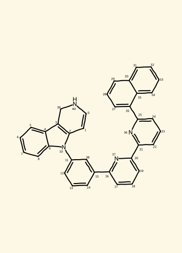 C1=Cc2c(c3ccccc3n2-c2cccc(-c3cccc(-c4cccc(-c5cccc6ccccc56)n4)n3)c2)CN1